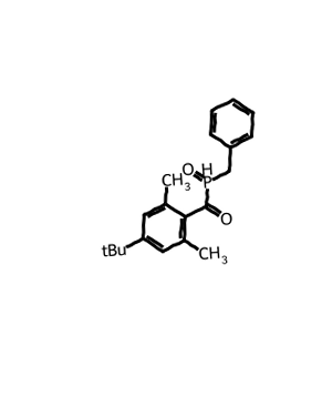 Cc1cc(C(C)(C)C)cc(C)c1C(=O)[PH](=O)Cc1ccccc1